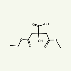 CCOC(=O)CC(O)(CC(=O)OC)C(=O)O